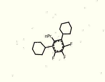 CCCc1c(C2CCCCC2)c(F)c(F)c(F)c1C1CCCCC1